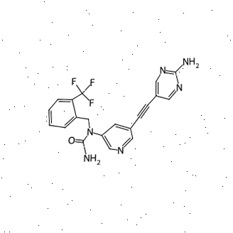 NC(=O)N(Cc1ccccc1C(F)(F)F)c1cncc(C#Cc2cnc(N)nc2)c1